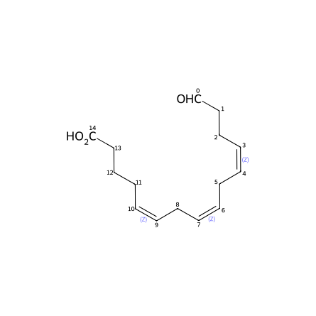 O=CCC/C=C\C/C=C\C/C=C\CCCC(=O)O